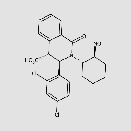 O=N[C@H]1CCCC[C@@H]1N1C(=O)c2ccccc2[C@@H](C(=O)O)[C@@H]1c1ccc(Cl)cc1Cl